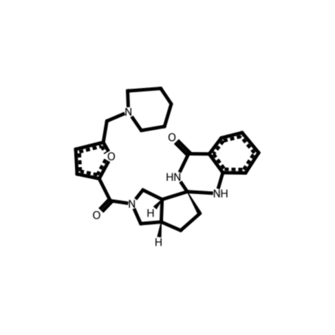 O=C1N[C@]2(CC[C@@H]3CN(C(=O)c4ccc(CN5CCCCC5)o4)C[C@@H]32)Nc2ccccc21